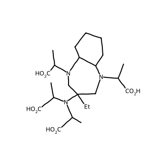 CCC1(N(C(C)C(=O)O)C(C)C(=O)O)CN(C(C)C(=O)O)C2CCCCC2N(C(C)C(=O)O)C1